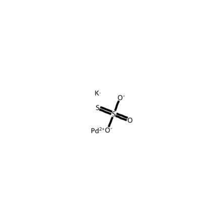 O=S([O-])([O-])=S.[K].[Pd+2]